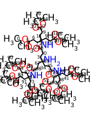 CC(C)OC(=O)CCC(CCC(=O)OC(C)(C)C)(CCC(=O)OC(C)(C)C)NC(=O)CCC(N)(CCC(=O)NC(CCC(=O)OC(C)(C)C)(CCC(=O)OC(C)(C)C)CCC(=O)OC(C)(C)C)CCC(=O)NC(CCC(=O)OC(C)(C)C)(CCC(=O)OC(C)(C)C)CCC(=O)OC(C)(C)C